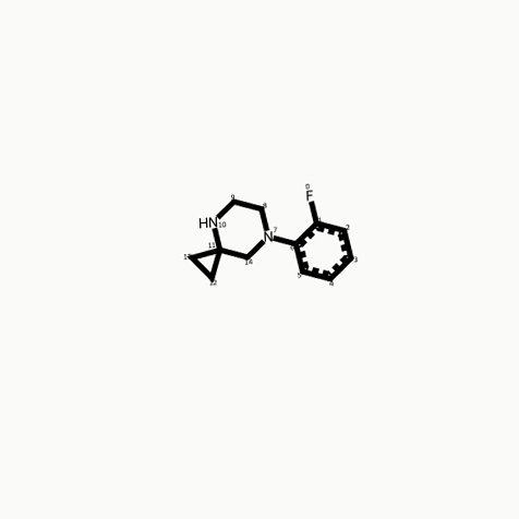 Fc1ccccc1N1CCNC2(CC2)C1